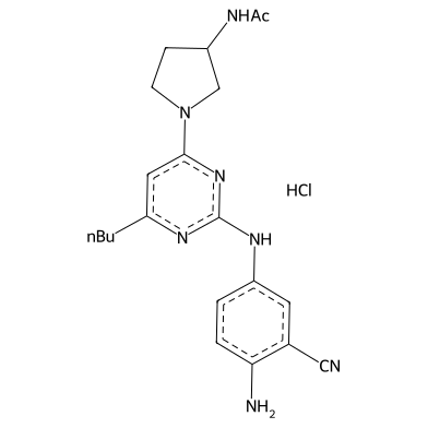 CCCCc1cc(N2CCC(NC(C)=O)C2)nc(Nc2ccc(N)c(C#N)c2)n1.Cl